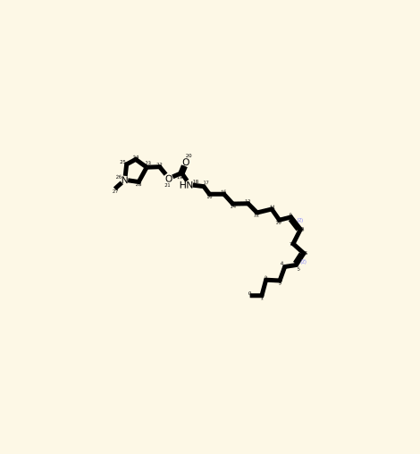 CCCCC/C=C\C/C=C\CCCCCCCCNC(=O)OCC1CCN(C)C1